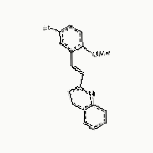 CCc1ccc(OC)c(/C=C/c2ccc3ccccc3n2)c1